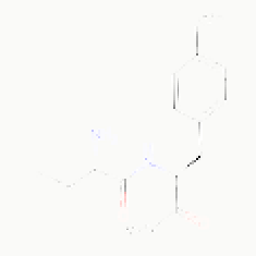 CNC(=O)[C@H](Cc1ccc(OC)cc1)NC(=O)[C@@H](N)CC(C)C